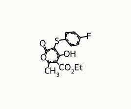 CCOC(=O)c1c(C)oc(=O)c(Sc2ccc(F)cc2)c1O